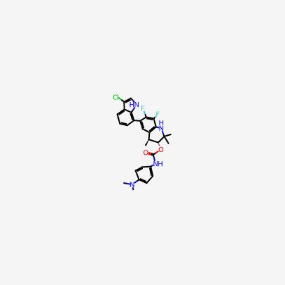 C[C@H]1c2cc(-c3cccc4c(Cl)c[nH]c34)c(F)c(F)c2NC(C)(C)[C@@H]1OC(=O)Nc1ccc(N(C)C)cc1